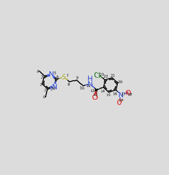 Cc1cc(C)nc(SCCCNC(=O)c2cc([N+](=O)[O-])ccc2Cl)n1